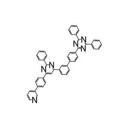 c1ccc(-c2nc(-c3ccc(-c4cccnc4)cc3)cc(-c3cccc(-c4ccc(-c5nc(-c6ccccc6)nc(-c6ccccc6)n5)cc4)c3)n2)cc1